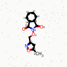 Cc1cc(CON2C(=O)c3ccccc3C2=O)no1